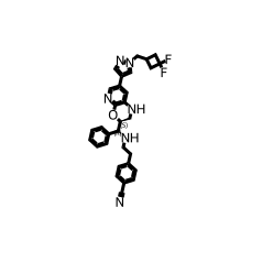 N#Cc1ccc(CCN[C@H](c2ccccc2)[C@@H]2CNc3cc(-c4cnn(CC5CC(F)(F)C5)c4)cnc3O2)cc1